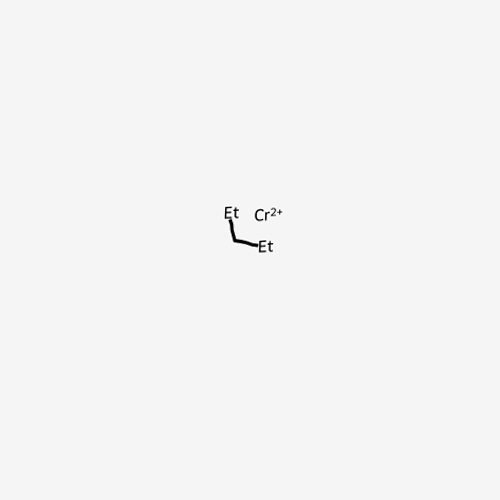 [CH2-]CCC[CH2-].[Cr+2]